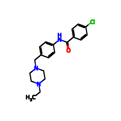 CCN1CCN(Cc2ccc(NC(=O)c3ccc(Cl)cc3)cc2)CC1